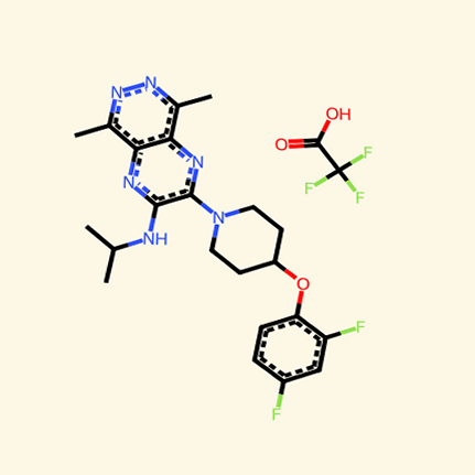 Cc1nnc(C)c2nc(N3CCC(Oc4ccc(F)cc4F)CC3)c(NC(C)C)nc12.O=C(O)C(F)(F)F